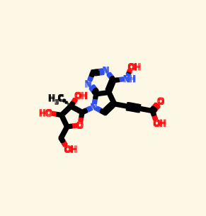 C[C@@]1(O)C(O)C(CO)OC1n1cc(C#CC(=O)O)c2c(NO)ncnc21